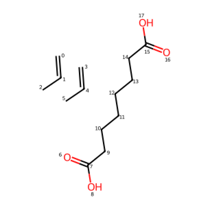 C=CC.C=CC.O=C(O)CCCCCCC(=O)O